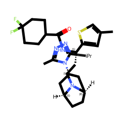 Cc1csc([C@H](CCN2[C@@H]3CC[C@H]2C[C@H](n2c(C)nnc2C(C)C)C3)NC(=O)C2CCC(F)(F)CC2)c1